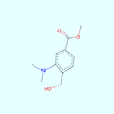 COC(=O)c1ccc(CO)c(N(C)C)c1